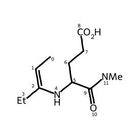 CC=C(CC)NC(CCC(=O)O)C(=O)NC